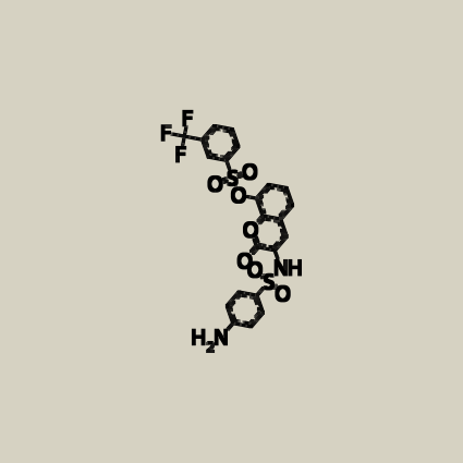 Nc1ccc(S(=O)(=O)Nc2cc3cccc(OS(=O)(=O)c4cccc(C(F)(F)F)c4)c3oc2=O)cc1